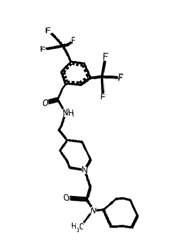 CN(C(=O)CN1CCC(CNC(=O)c2cc(C(F)(F)F)cc(C(F)(F)F)c2)CC1)C1CCCCC1